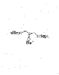 CCCCCCCCP([O-])CCCCCCCC.[Na+]